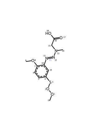 COOSc1ccc(OC)c(/N=N/N(C)CC(=O)O)c1